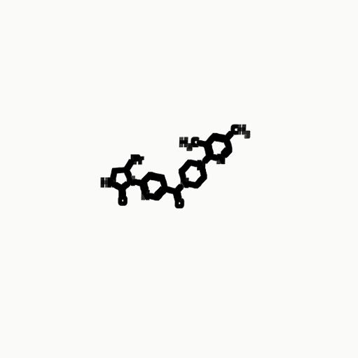 Cc1cnc(N2CCN(C(=O)c3ccc(N4C(=O)NCC4C(C)C)nc3)CC2)c(C)c1